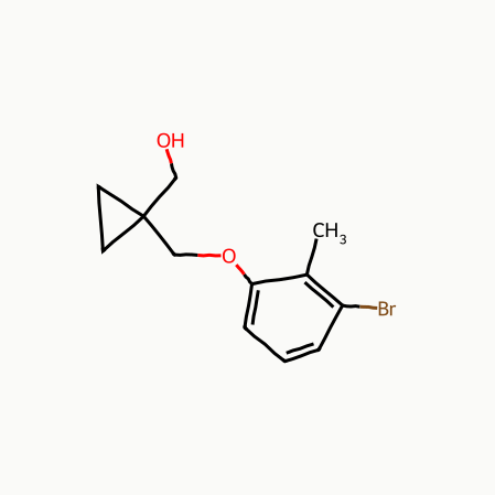 Cc1c(Br)cccc1OCC1(CO)CC1